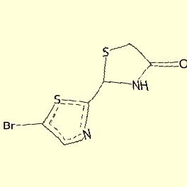 O=C1CSC(c2ncc(Br)s2)N1